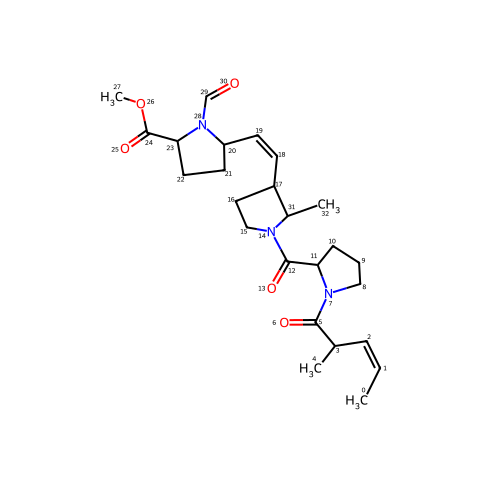 C/C=C\C(C)C(=O)N1CCCC1C(=O)N1CCC(/C=C\C2CCC(C(=O)OC)N2C=O)C1C